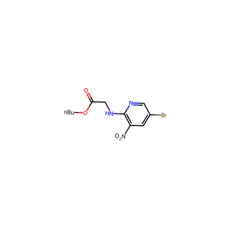 CCCCOC(=O)CNc1ncc(Br)cc1[N+](=O)[O-]